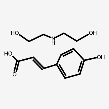 O=C(O)C=Cc1ccc(O)cc1.OCCNCCO